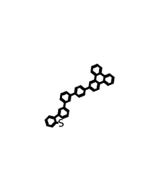 c1cc(-c2ccc(-c3ccc4c5ccccc5c5ccccc5c4c3)cc2)cc(-c2ccc3sc4ccccc4c3c2)c1